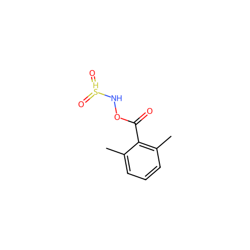 Cc1cccc(C)c1C(=O)ON[SH](=O)=O